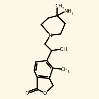 Cc1c(C(O)CN2CCC(C)(N)CC2)ccc2c1COC2=O